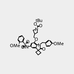 COc1ccc(CN2C(=O)C3(CCC3)c3cc(NS(=O)(=O)c4ccccc4OC)cc(OCC4CN(C(=O)OC(C)(C)C)C4)c32)cc1